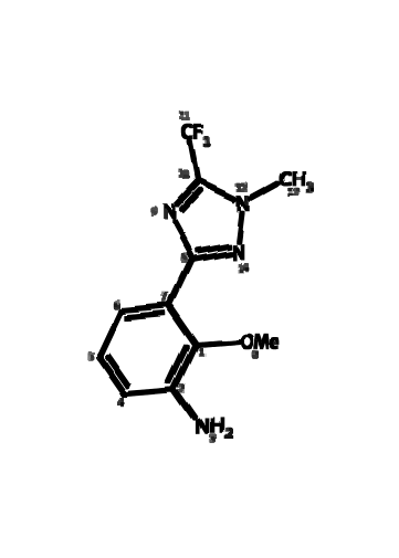 COc1c(N)cccc1-c1nc(C(F)(F)F)n(C)n1